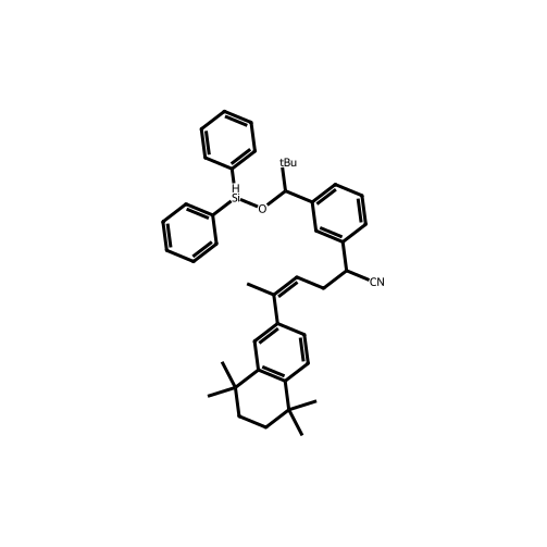 CC(=CCC(C#N)c1cccc(C(O[SiH](c2ccccc2)c2ccccc2)C(C)(C)C)c1)c1ccc2c(c1)C(C)(C)CCC2(C)C